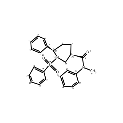 CN(C(=O)[C@@H]1CC[C@H](c2ccccc2)N(S(=O)(=O)c2ccccc2)C1)c1ccccc1